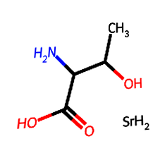 CC(O)C(N)C(=O)O.[SrH2]